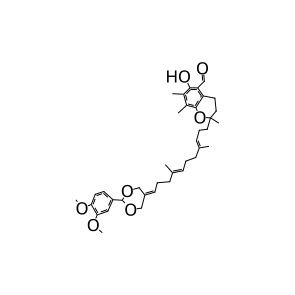 COc1ccc(C2OCC(=CCC/C(C)=C/CC/C(C)=C/CCC3(C)CCc4c(C=O)c(O)c(C)c(C)c4O3)CO2)cc1OC